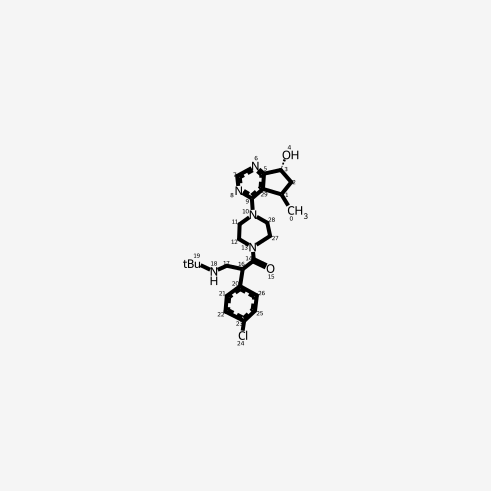 CC1C[C@@H](O)c2ncnc(N3CCN(C(=O)C(CNC(C)(C)C)c4ccc(Cl)cc4)CC3)c21